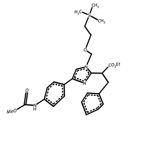 CCOC(=O)C(Cc1ccccc1)c1nc(-c2ccc(NC(=O)OC)cc2)cn1COCC[Si](C)(C)C